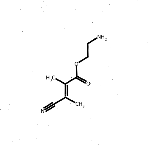 CC(C#N)=C(C)C(=O)OCCN